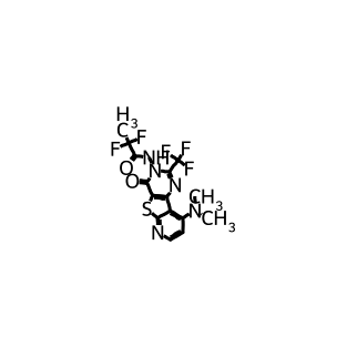 CN(C)c1ccnc2sc3c(=O)n(NC(=O)C(C)(F)F)c(C(F)(F)F)nc3c12